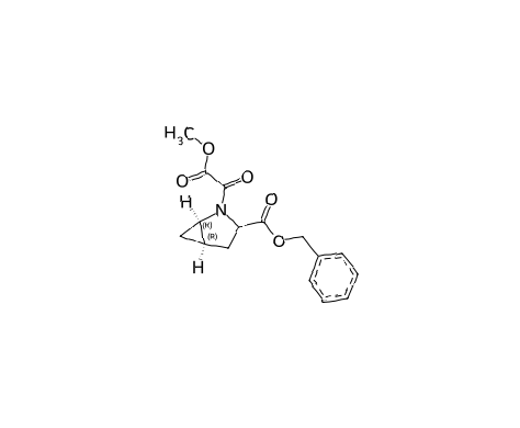 COC(=O)C(=O)N1C(C(=O)OCc2ccccc2)C[C@H]2C[C@H]21